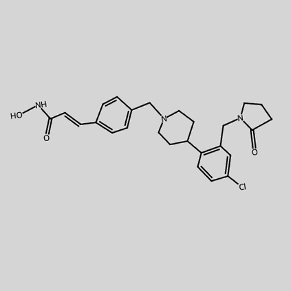 O=C(C=Cc1ccc(CN2CCC(c3ccc(Cl)cc3CN3CCCC3=O)CC2)cc1)NO